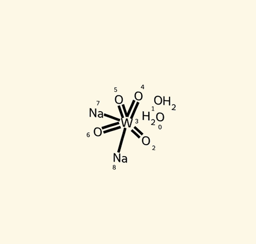 O.O.[O]=[W](=[O])(=[O])(=[O])([Na])[Na]